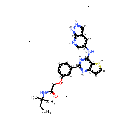 CCC(C)(C)NC(=O)COc1cccc(-c2nc(Nc3cnc4[nH]ncc4c3)c3sccc3n2)c1